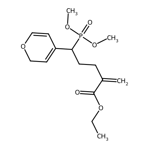 C=C(CCC(C1=CCOC=C1)P(=O)(OC)OC)C(=O)OCC